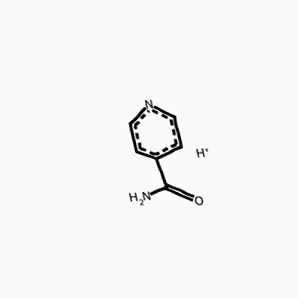 NC(=O)c1ccncc1.[H+]